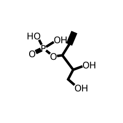 C#CC(OP(=O)(O)O)C(O)CO